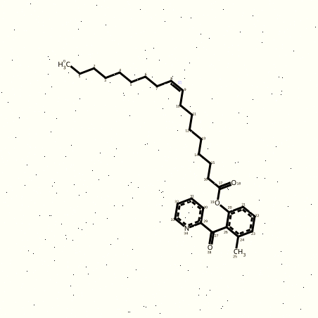 CCCCCCCC/C=C\CCCCCCCC(=O)Oc1cccc(C)c1C(=O)c1ccccn1